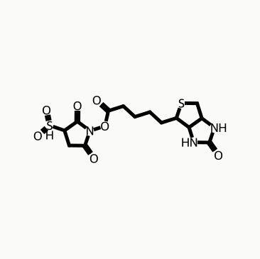 O=C1NC2CSC(CCCCC(=O)ON3C(=O)CC([SH](=O)=O)C3=O)C2N1